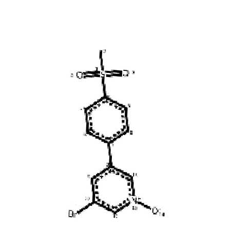 CS(=O)(=O)c1ccc(-c2cc(Br)c[n+]([O-])c2)cc1